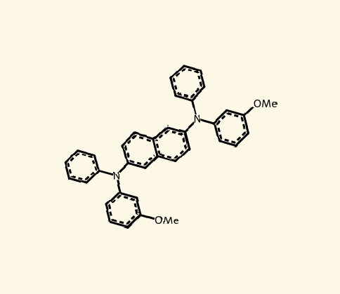 COc1cccc(N(c2[c]c3ccc(N(c4ccccc4)c4cccc(OC)c4)cc3cc2)c2ccccc2)c1